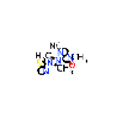 C[C@H]1CN(c2cc(=O)n(C)c3ccc(C#N)nc23)[C@@H](C)CN1c1csc2cccnc12